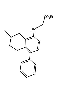 CCOC(=O)CNc1ccc(-c2ccccc2)c2c1CN(C)CC2